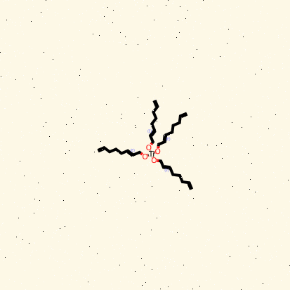 C=CCCC/C=C/C[O][Ti]([O]C/C=C/CCCC=C)([O]C/C=C/CCCC=C)[O]C/C=C/CCCC=C